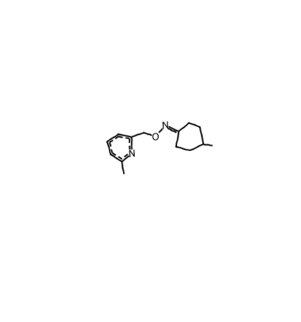 Cc1cccc(CON=C2CCC(C)CC2)n1